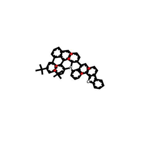 CC(C)(C)c1cc(-c2cccc3cccc(-c4ccccc4N(c4cccc(-c5cccc6c5oc5ccccc56)c4)c4ccccc4-c4ccccc4)c23)cc(C(C)(C)C)c1